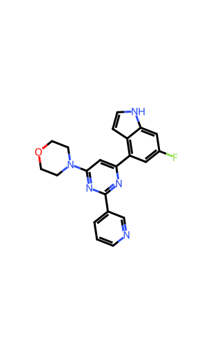 Fc1cc(-c2cc(N3CCOCC3)nc(-c3cccnc3)n2)c2cc[nH]c2c1